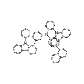 c1ccc(-n2c3ccccc3c3cccc(-c4cccc(N(c5ccc(-c6cccc7ccccc67)cc5)c5ccccc5-n5c6ccccc6c6ccccc65)c4)c32)cc1